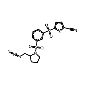 N#Cc1ccc(S(=O)(=O)c2cccc(S(=O)(=O)N3CCCC3CN=[N+]=[N-])c2)s1